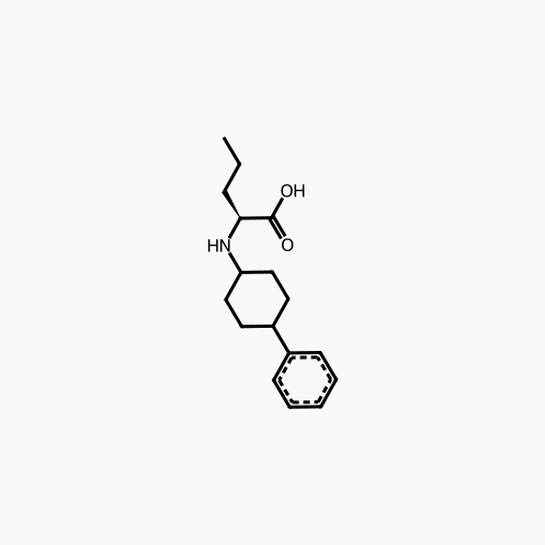 CCC[C@H](NC1CCC(c2ccccc2)CC1)C(=O)O